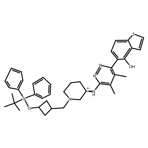 Cc1c(N[C@@H]2CCCN(CC3CC(O[Si](c4ccccc4)(c4ccccc4)C(C)(C)C)C3)C2)nnc(-c2ccc3sccc3c2O)c1C